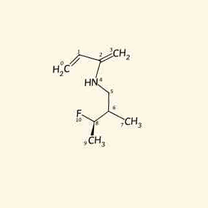 C=CC(=C)NCC(C)[C@@H](C)F